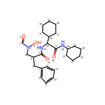 O=CN(O)CC(Cc1ccccc1)C(=O)NC(C(=O)NC1CCCCC1)C1CCCCC1